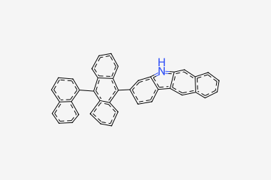 c1ccc2cc3c(cc2c1)[nH]c1cc(-c2c4ccccc4c(-c4cccc5ccccc45)c4ccccc24)ccc13